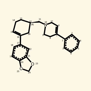 C1=C(c2ccccc2)CCN(C[C@@H]2CCC=C(c3ccc4c(c3)OCO4)C2)C1